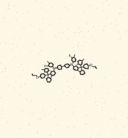 C=CCOc1ccc(C2(c3cc(C)ccc3C)c3ccccc3-c3ccc(N(c4ccc(-c5ccc(N(c6ccc(C)c(F)c6)c6ccc7c(c6)C(c6ccc(OCC=C)cc6)(c6cc(C)ccc6C)c6ccccc6-7)cc5)cc4)c4ccc(C)c(F)c4)cc32)cc1